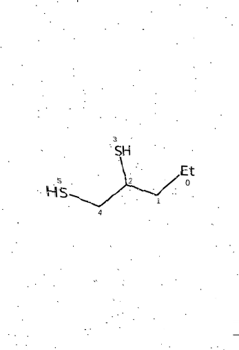 CCCC(S)CS